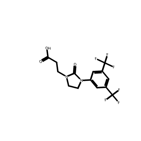 O=C(O)CCN1CCN(c2cc(C(F)(F)F)cc(C(F)(F)F)c2)C1=O